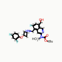 CC(C)(C)OC(=O)N(C(=O)O)c1cc2c(CN[C@H]3C[C@H](Oc4ccc(F)cc4F)C3)c(F)cc(CO)c2cn1